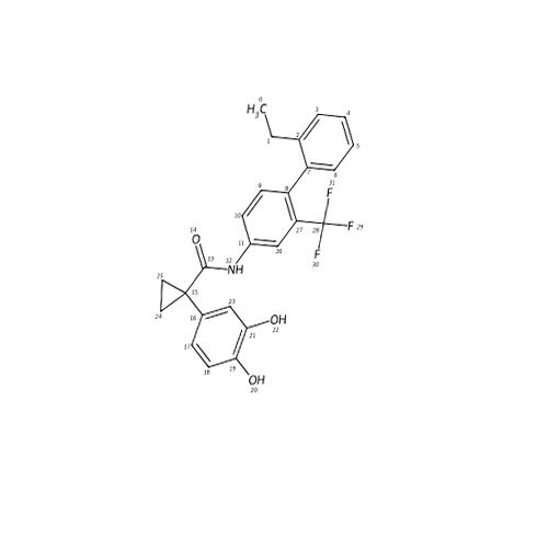 CCc1ccccc1-c1ccc(NC(=O)C2(c3ccc(O)c(O)c3)CC2)cc1C(F)(F)F